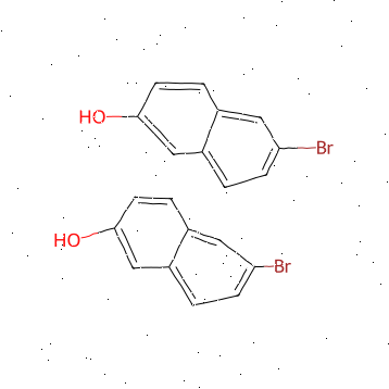 Oc1ccc2cc(Br)ccc2c1.Oc1ccc2cc(Br)ccc2c1